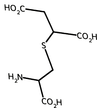 NC(CSC(CC(=O)O)C(=O)O)C(=O)O